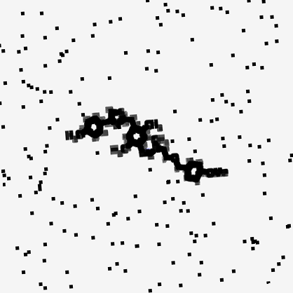 COc1ccc(COCCN(C)/C=N\c2cc(C)c(Cc3nc(-c4ccc(C)cc4)cs3)cc2C)cc1